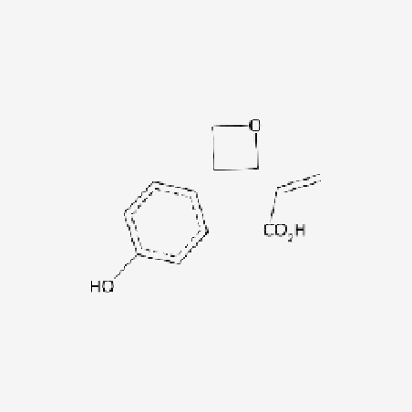 C1COC1.C=CC(=O)O.Oc1ccccc1